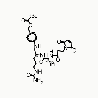 CC(C)[C@H](NC(=O)CCN1C(=O)C=CC1=O)C(=O)N[C@@H](CCCNC(N)=O)CNc1ccc(COC(=O)C(C)(C)C)cc1